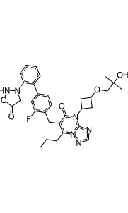 CCCc1c(Cc2ccc(-c3ccccc3N3CC(=O)ON3)cc2F)c(=O)n(C2CC(OCC(C)(C)O)C2)c2ncnn12